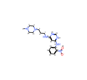 CN1CCN(CCCNc2cc(Nc3ccccc3[N+](=O)[O-])ncn2)CC1